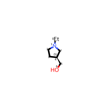 CCN1CC[C@H](CO)C1